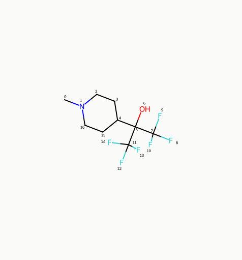 CN1CCC(C(O)(C(F)(F)F)C(F)(F)F)CC1